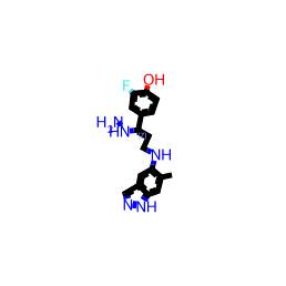 Cc1cc2[nH]ncc2cc1NC/C=C(\NN)c1ccc(O)c(F)c1